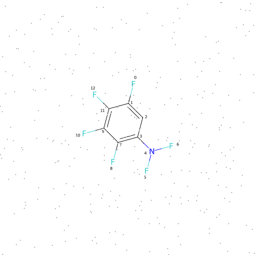 Fc1cc(N(F)F)c(F)c(F)c1F